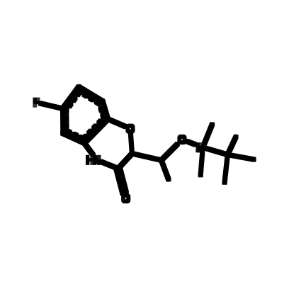 CC(O[Si](C)(C)C(C)(C)C)C1Oc2ccc(F)cc2NC1=O